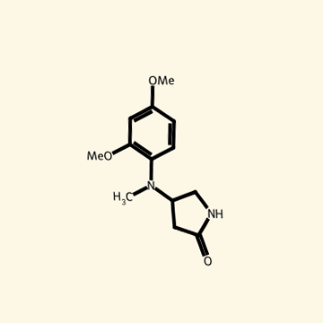 COc1ccc(N(C)C2CNC(=O)C2)c(OC)c1